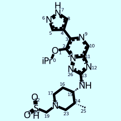 CC(C)Oc1c(-c2cn[nH]c2)ncc2nc(N[C@H]3CCN(C[SH](=O)=O)C[C@H]3C)nn12